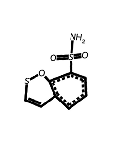 NS(=O)(=O)c1cccc2c1OSC=C2